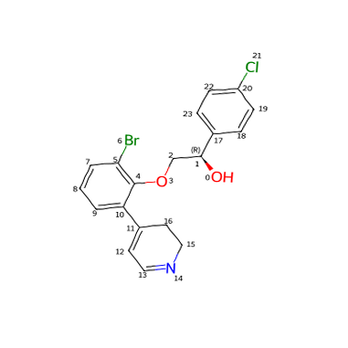 O[C@@H](COc1c(Br)cccc1C1=CC=NCC1)c1ccc(Cl)cc1